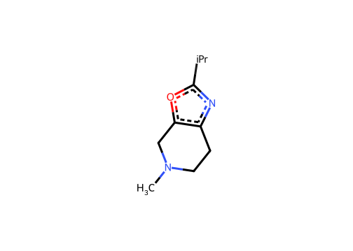 CC(C)c1nc2c(o1)CN(C)CC2